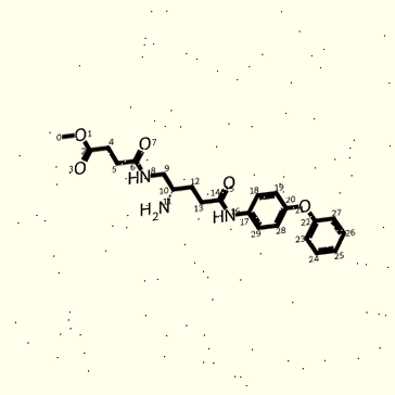 COC(=O)CCC(=O)NC[C@@H](N)CCC(=O)Nc1ccc(Oc2ccccc2)cc1